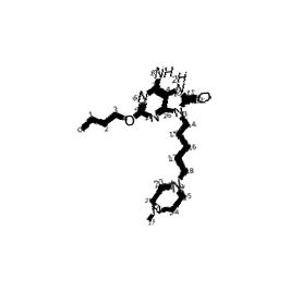 CCCCOc1nc(N)c2[nH]c(=O)n(CCCCCN3CCN(C)CC3)c2n1